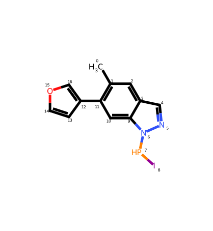 Cc1cc2cnn(PI)c2cc1-c1ccoc1